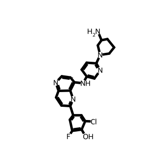 NC1CCCN(c2ccc(Nc3[c]cnc4ccc(-c5cc(F)c(O)c(Cl)c5)nc34)cn2)C1